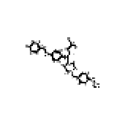 CCOc1ccc(CN2CCC(N(CC=C(C)C)c3ccc(OCc4ccccc4)cc3)CC2)cc1